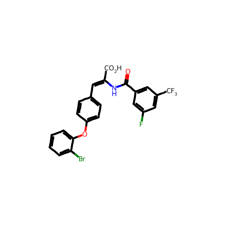 O=C(O)C(=Cc1ccc(Oc2ccccc2Br)cc1)NC(=O)c1cc(F)cc(C(F)(F)F)c1